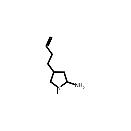 C=CCCC1CNC(N)C1